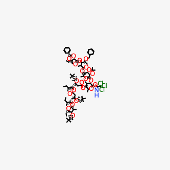 CC[C@@H]1O[C@@H](O[C@@H](C[C@@H](CC(=O)O[C@@H](C[C@@H](CC(=O)O[C@H]2C(C)O[C@H](OC(=N)C(Cl)(Cl)Cl)C(O[C@@H]3OC(C)[C@H](O[C@@H]4OC[C@@H](OCc5ccccc5)C(O[C@@H]5OC[C@]6(CC)O[C@@H](c7ccccc7)OC56)C4C)C4OC(C)(C)OC43)C2C)O[Si](C)(C)C(C)(C)C)[C@@H](C)CC)O[Si](C)(C)C(C)(C)C)[C@@H](C)CC)C(C)C1O[Si](C)(C)C(C)(C)C